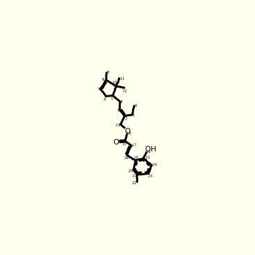 CC/C(=C\CC1CC=C(C)C1(C)C)COC(=O)/C=C/c1cc(C)ccc1O